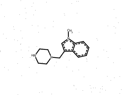 Cn1cc(CN2CCNCC2)c2ccccc21